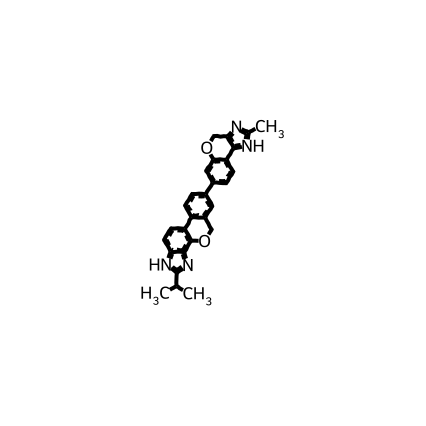 Cc1nc2c([nH]1)-c1ccc(-c3ccc4c(c3)COc3c-4ccc4[nH]c(C(C)C)nc34)cc1OC2